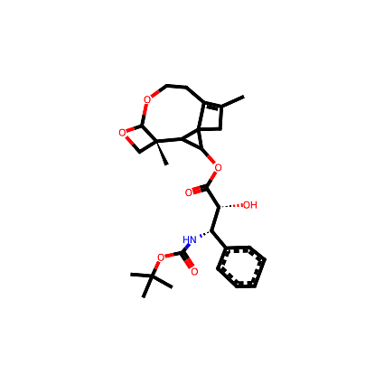 CC1=C2CCOC3OC[C@@]3(C)C3C(OC(=O)[C@H](O)[C@@H](NC(=O)OC(C)(C)C)c4ccccc4)C23C1